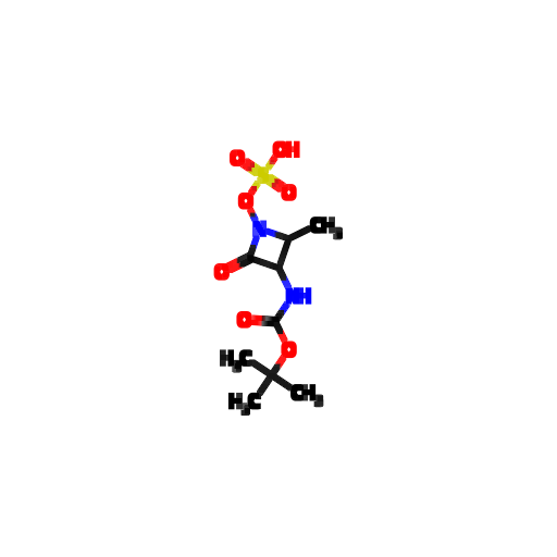 CC1C(NC(=O)OC(C)(C)C)C(=O)N1OS(=O)(=O)O